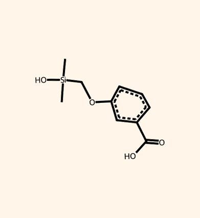 C[Si](C)(O)COc1cccc(C(=O)O)c1